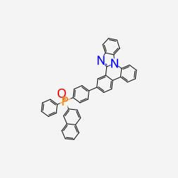 O=P(c1ccccc1)(c1ccc(-c2ccc3c4ccccc4n4c5ccccc5nc4c3c2)cc1)c1ccc2ccccc2c1